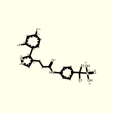 CCC(CC)(c1ccc(NC(=O)CCc2cnoc2-c2ccc(F)cc2F)cc1)P(=O)(O)O